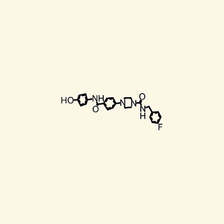 O=C(Nc1ccc(O)cc1)c1ccc(N2CCN(C(=O)NCc3ccc(F)cc3)CC2)cc1